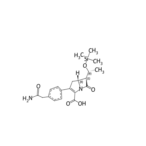 C[C@@H](O[Si](C)(C)C)[C@H]1C(=O)N2C(C(=O)O)=C(c3ccc(CC(N)=O)cc3)C[C@H]12